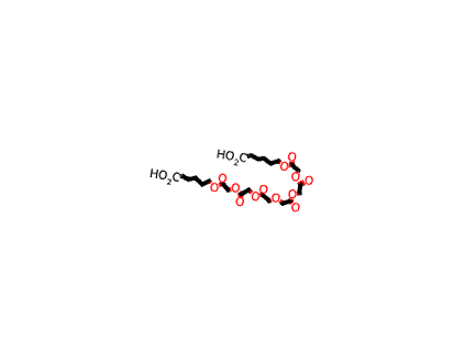 O=C(O)CCCCCOC(=O)COC(=O)COC(=O)COCC(=O)OCC(=O)OCC(=O)OCCCCCC(=O)O